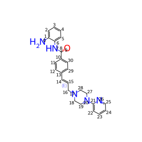 Nc1ccccc1NC(=O)c1ccc(/C=C/CN2CCN(c3ccccn3)CC2)cc1